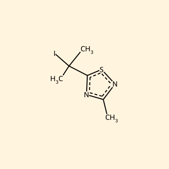 Cc1nsc(C(C)(C)I)n1